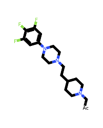 CC(=O)CN1CCC(CCN2CCN(c3cc(F)c(F)c(F)c3)CC2)CC1